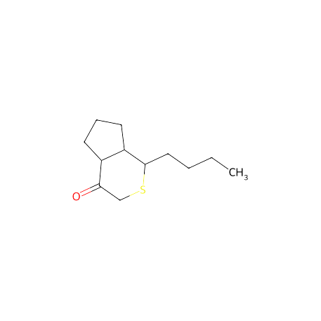 CCCCC1SCC(=O)C2CCCC12